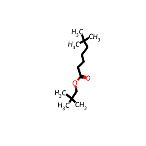 CC(C)(C)CCCCC(=O)OCC(C)(C)C